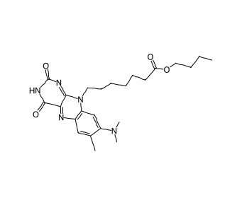 CCCCOC(=O)CCCCCCn1c2nc(=O)[nH]c(=O)c-2nc2cc(C)c(N(C)C)cc21